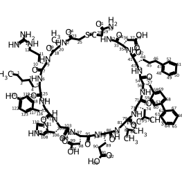 CCCCC[C@@H]1NC(=O)[C@H](CCCNC(=N)N)NC(=O)[C@H](C)NC(=O)CSCC(C(N)=O)NC(=O)[C@H](CC(=O)O)NC(=O)[C@H](CCCc2ccccc2)NC(=O)[C@H](Cc2ccc(-c3ccccc3)cc2)NC(=O)[C@H](CC(C)C)NC(=O)[C@H](C(C)C)NC(=O)[C@H](CCC(=O)O)NC(=O)[C@H](CC(=O)O)NC(=O)[C@H](Cc2c[nH]cn2)NC(=O)[C@H](Cc2ccc(O)cc2)NC1=O